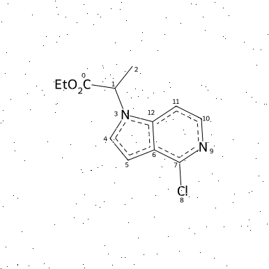 CCOC(=O)C(C)n1ccc2c(Cl)nccc21